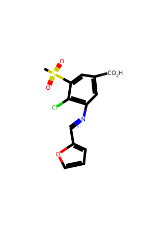 CS(=O)(=O)c1cc(C(=O)O)cc(/N=C/c2ccco2)c1Cl